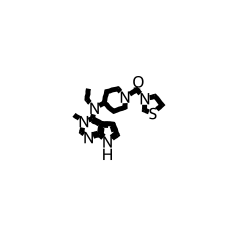 CCN(C1=c2cc[nH]c2=NCN1C)C1CCN(C(=O)N2CCSC2)CC1